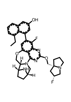 CCc1cccc2cc(O)cc(-c3cc4c5c(nc(OC[C@]67CCCN6C[C@H](F)C7)nc5c3F)N3C[C@@H]5CC[C@@H](N5)[C@@H]3CO4)c12